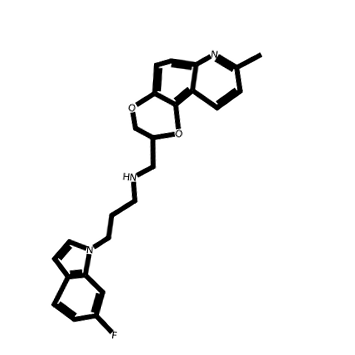 Cc1ccc2c3c(ccc2n1)OCC(CNCCCn1ccc2ccc(F)cc21)O3